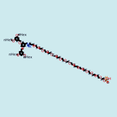 CCCCCCOc1cc(COc2cc(Cn3cc(COCCOCCOCCOCCOCCOCCOCCOCCOCCOCCOCCOCCOCCOCCOCCOCCO[PH](=O)O)nn3)cc(OCc3cc(OCCCCCC)cc(OCCCCCC)c3)c2)cc(OCCCCCC)c1